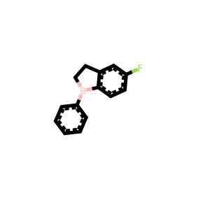 Fc1ccc2c(c1)CCB2c1ccccc1